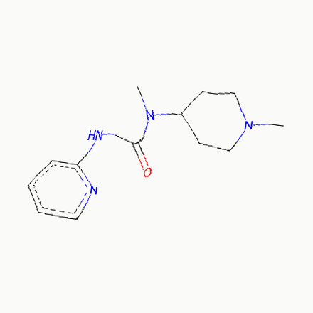 CN1CCC(N(C)C(=O)Nc2ccccn2)CC1